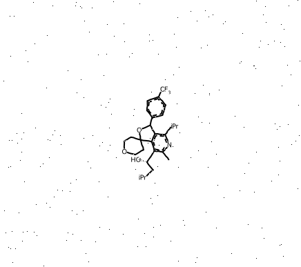 Cc1nc(C(C)C)c2c(c1[C@@H](O)CC(C)C)C1(CCOCC1)OC2c1ccc(C(F)(F)F)cc1